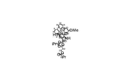 COc1ccc(C(c2ccccc2)(c2ccccc2)n2c(N)nc3c(c2=O)NCN3C(OCCCOC(=O)C(C)C)OC(=O)C(C)C)cc1